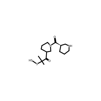 CC(C)(SS)C(=O)C1CCCN(C(=O)[C@@H]2CCCNC2)C1